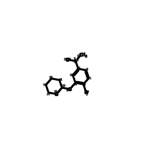 C[S+]([O-])c1ccc(Br)c(OC2CCCCO2)c1